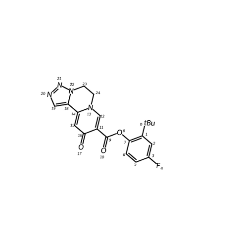 CC(C)(C)c1cc(F)ccc1OC(=O)c1cn2c(cc1=O)-c1cnnn1CC2